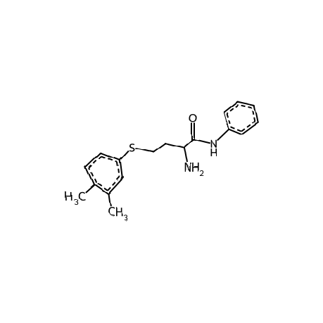 Cc1ccc(SCCC(N)C(=O)Nc2ccccc2)cc1C